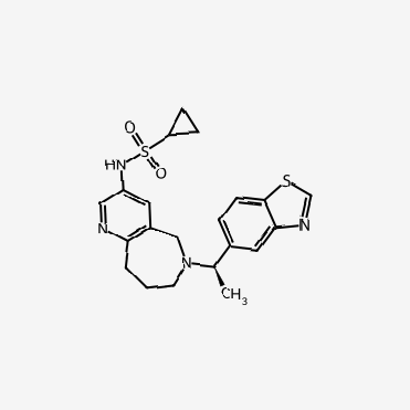 C[C@H](c1ccc2scnc2c1)N1CCCc2ncc(NS(=O)(=O)C3CC3)cc2C1